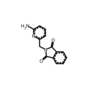 Nc1cccc(CN2C(=O)c3ccccc3C2=O)n1